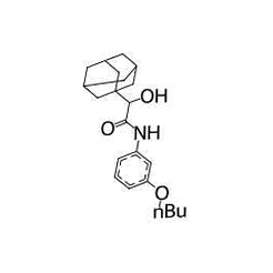 CCCCOc1cccc(NC(=O)C(O)C23CC4CC(CC(C4)C2)C3)c1